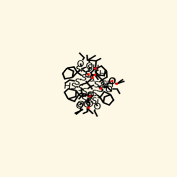 CCO[Si](OCC)(OCC)C1(S(SS)(SCC)C(C)(CCCC(C)CC)C(S(SS)(SCC)C2([Si](OCC)(OCC)OCC)CC3CCC2C3)(S(SS)(SCC)C2([Si](OCC)(OCC)OCC)CC3CCC2C3)S(SS)(SCC)C2([Si](OCC)(OCC)OCC)CC3CCC2C3)CC2CCC1C2